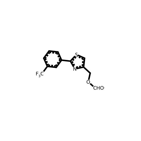 O=[C]OCc1csc(-c2cccc(C(F)(F)F)c2)n1